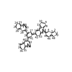 c1ccc2cc(-n3c4ccccc4c4cc(-c5cc(-c6cnc7ccccc7c6)cc(-c6cnc7ccccc7c6)c5)ccc43)ccc2c1